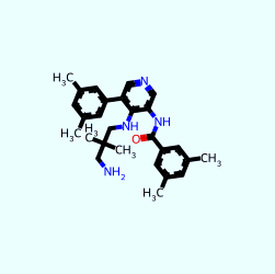 Cc1cc(C)cc(C(=O)Nc2cncc(-c3cc(C)cc(C)c3)c2NCC(C)(C)CN)c1